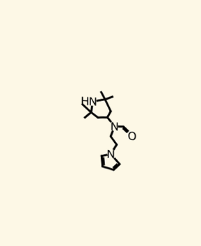 CC1(C)CC(N(C=O)CCn2cccc2)CC(C)(C)N1